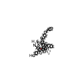 COCCn1c(C#N)cc(N(C(=O)c2cc(-c3cc4c(cc3C(=O)N3Cc5ccccc5C[C@H]3C)CN(C(=O)Cc3ccc(OCCN5CCOCC5)cc3)CC4)n(C)c2C)c2ccc(O)cc2)c1C